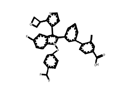 Cc1cc(C(=O)O)ccc1-c1cccc(-c2c(-c3ccsc3C3COC3)c3cc(F)ccc3n2Sc2ccc(C(F)F)cc2)c1